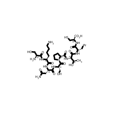 CC(C)C[C@H](NC(=O)[C@@H](NC(=O)[C@@H]1CCCN1C(=O)[C@H](CO)NC(=O)[C@H](CC(N)=O)NC(=O)[C@H](CCCCN)NC(=O)[C@@H](N)CO)[C@@H](C)O)C(=O)N[C@@H](CS)C(=O)O